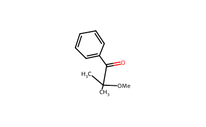 COC(C)(C)C(=O)c1ccccc1